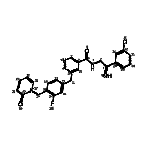 N=C(CNC(=O)c1cncc(Cc2ccc(Cn3ccccc3=O)c(F)c2)c1)c1cccc(Cl)c1